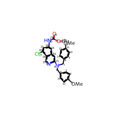 COc1ccc(CN(Cc2ccc(OC)cc2)c2cc3cc(NC(=O)OC(C)(C)C)cc(Cl)c3cn2)cc1